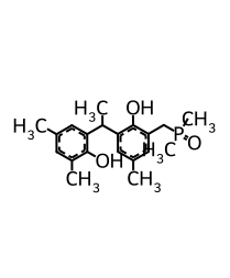 Cc1cc(C)c(O)c(C(C)c2cc(C)cc(CP(C)(C)=O)c2O)c1